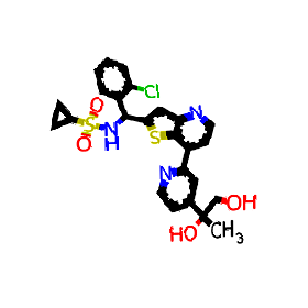 CC(O)(CO)c1ccnc(-c2ccnc3cc(C(NS(=O)(=O)C4CC4)c4ccccc4Cl)sc23)c1